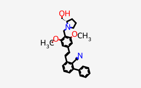 COc1cc(/C=C/c2cccc(-c3ccccc3)c2C#N)cc(OC)c1CN1CCC[C@H]1CO